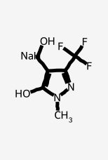 Cn1nc(C(F)(F)F)c(CO)c1O.[NaH]